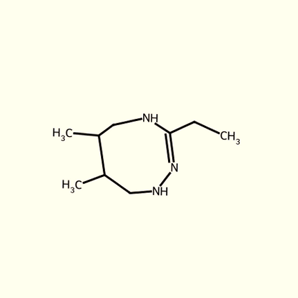 CC/C1=N/NCC(C)C(C)CN1